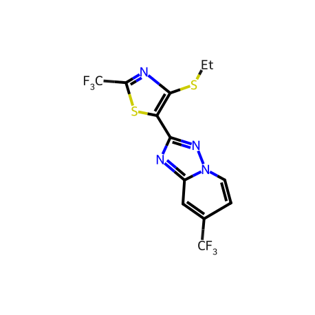 CCSc1nc(C(F)(F)F)sc1-c1nc2cc(C(F)(F)F)ccn2n1